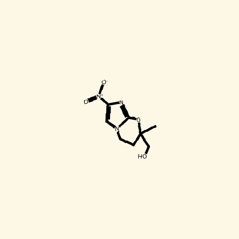 CC1(CO)CCn2cc([N+](=O)[O-])nc2O1